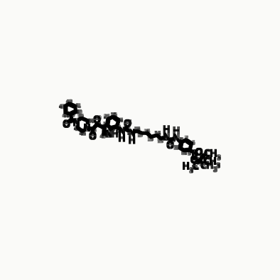 CC1(C)OB(c2ccc(NC(=O)NCCCCCCNC(=O)Nc3cccc4c(C(=O)C(=O)N5CCN(C(=O)c6ccccc6)CC5)c[nH]c34)cc2)OC1(C)C